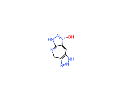 O[n+]1n[nH]c2c1=Cc1[nH]nnc1CN=2